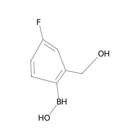 OBc1ccc(F)cc1CO